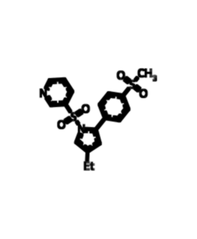 CCc1cc(-c2ccc(S(C)(=O)=O)cc2)n(S(=O)(=O)c2cccnc2)c1